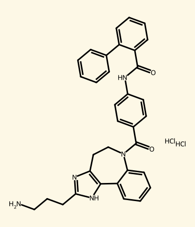 Cl.Cl.NCCCc1nc2c([nH]1)-c1ccccc1N(C(=O)c1ccc(NC(=O)c3ccccc3-c3ccccc3)cc1)CC2